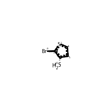 Brc1cccs1.S